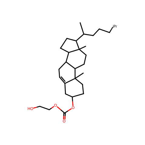 CC(C)CCCC(C)C1CCC2C3CC=C4CC(OC(=O)OCCO)CCC4(C)C3CCC12C